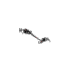 CCC(CCCCCCCCCCCCCCC(=O)OC[C@H](COC)O[Si](C)(C)C(C)(C)C)OC1=NC(C)(C)CO1